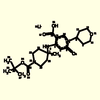 CC1(Nc2cc(=O)n(C3CCOCC3)cc2C(=O)O)CCN(C(=O)OC(C)(C)C)CC1.[Li]